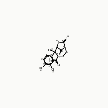 O=C(O)C1CCN2C(=O)C(SC2=S)C1(Cl)c1ccc(O)c(Cl)c1